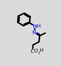 C/C(CCC(=O)O)=N\Nc1ccccc1